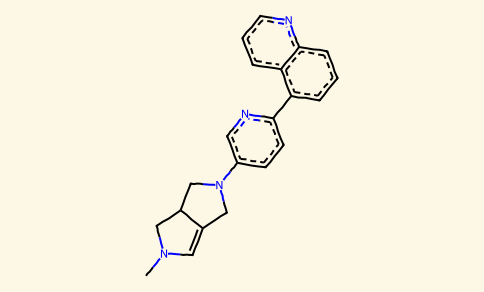 CN1C=C2CN(c3ccc(-c4cccc5ncccc45)nc3)CC2C1